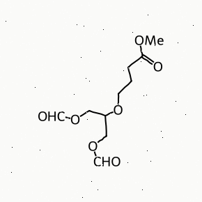 COC(=O)CCCOC(COC=O)COC=O